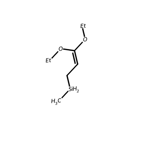 CCOC(=CC[SiH2]C)OCC